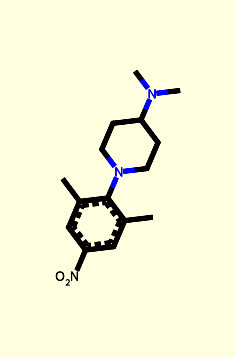 Cc1cc([N+](=O)[O-])cc(C)c1N1CCC(N(C)C)CC1